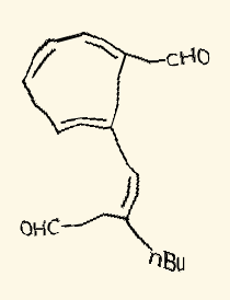 CCCCC(C=O)=Cc1ccccc1C=O